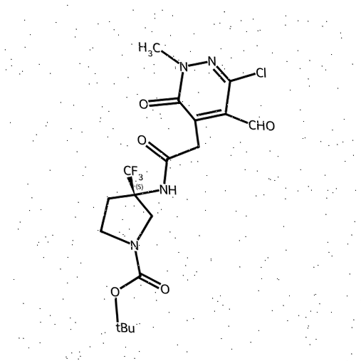 Cn1nc(Cl)c(C=O)c(CC(=O)N[C@@]2(C(F)(F)F)CCN(C(=O)OC(C)(C)C)C2)c1=O